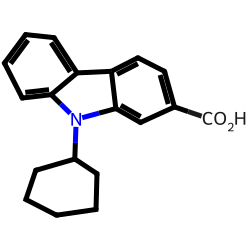 O=C(O)c1ccc2c3ccccc3n(C3CCCCC3)c2c1